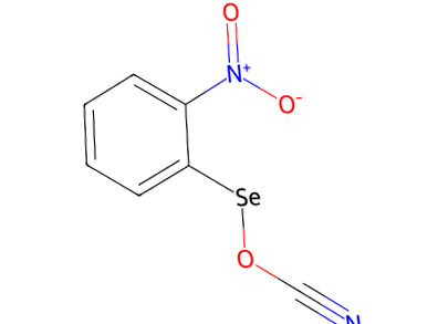 N#CO[Se]c1ccccc1[N+](=O)[O-]